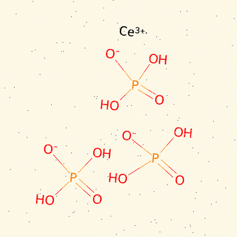 O=P([O-])(O)O.O=P([O-])(O)O.O=P([O-])(O)O.[Ce+3]